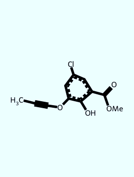 CC#COc1cc(Cl)cc(C(=O)OC)c1O